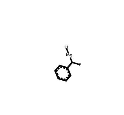 F[CH]([Mg][Cl])c1ccccc1